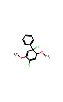 COC1=CC(Cl)(c2ccccc2)C(OC)C=C1Cl